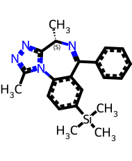 Cc1nnc2n1-c1ccc([Si](C)(C)C)cc1C(c1ccccc1)=N[C@H]2C